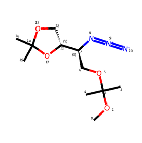 COC(C)(C)OC[C@H](N=[N+]=[N-])[C@H]1COC(C)(C)O1